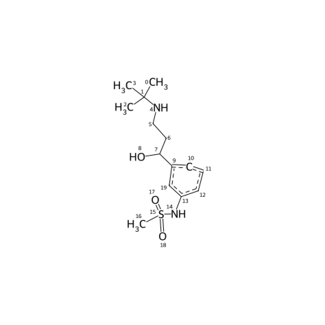 CC(C)(C)NCCC(O)c1cccc(NS(C)(=O)=O)c1